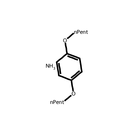 CCCCCOc1ccc(OCCCCC)cc1.N